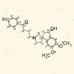 COc1cc2c(cc1OC)C1(CCN(CCCC(=O)c3ccc(F)cc3)C1)CC2O